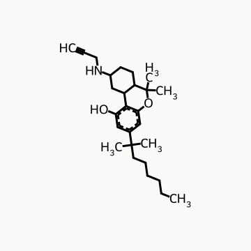 C#CCNC1CCC2C(C1)c1c(O)cc(C(C)(C)CCCCCC)cc1OC2(C)C